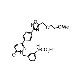 CCOC(=O)Nc1cccc(Cn2nc(-c3ccc(-c4noc(COCCOC)n4)cc3)ccc2=O)c1